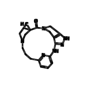 CC12CCN(CCCc3cccc(n3)Nc3n[nH]c4c3CN(C4)C1=O)C2